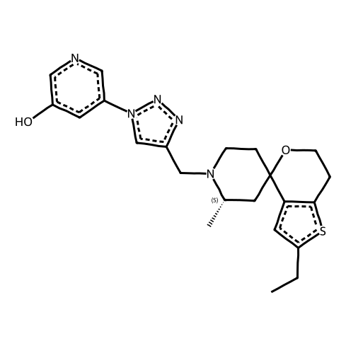 CCc1cc2c(s1)CCOC21CCN(Cc2cn(-c3cncc(O)c3)nn2)[C@@H](C)C1